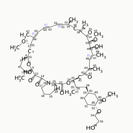 CO[C@H]1C[C@@H]2CC[C@@H](C)[C@@](O)(O2)C(=O)C(=O)N2CCCC[C@H]2C(=O)O[C@H]([C@@H](C)C[C@@H]2CC[C@@H](OCCO)[C@H](OC)C2)CC(=O)[C@H](C)/C=C(\C)[C@H](O)[C@H](OC)C(=O)[C@@H](C)C[C@H](C)/C=C/C=C/C=C/1C